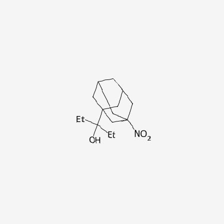 CCC(O)(CC)C12CC3CC(CC([N+](=O)[O-])(C3)C1)C2